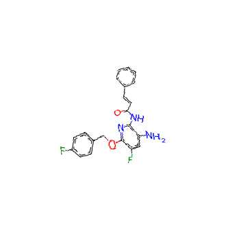 Nc1cc(F)c(OCc2ccc(F)cc2)nc1NC(=O)/C=C/c1ccccc1